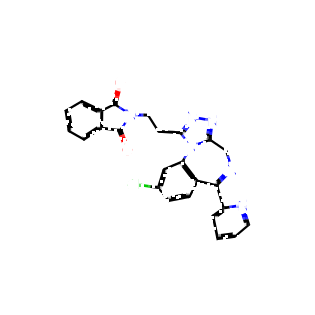 O=C1c2ccccc2C(=O)N1CCc1nnc2n1-c1cc(Cl)ccc1C(c1ccccn1)=NC2